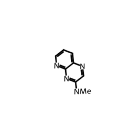 CNc1cnc2cccnc2n1